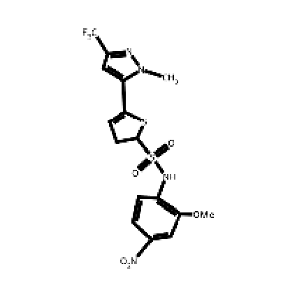 COc1cc([N+](=O)[O-])ccc1NS(=O)(=O)C1CC=C(c2cc(C(F)(F)F)nn2C)S1